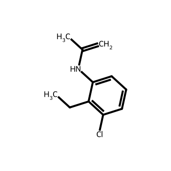 C=C(C)Nc1cccc(Cl)c1CC